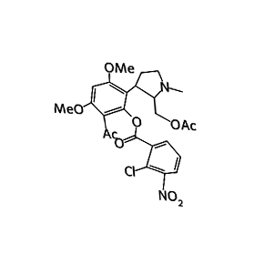 COc1cc(OC)c(C2CCN(C)C2COC(C)=O)c(OC(=O)c2cccc([N+](=O)[O-])c2Cl)c1C(C)=O